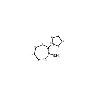 CC1=C(N2CCCC2)CCCCC1